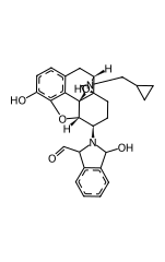 O=CC1c2ccccc2C(O)N1[C@@H]1CC[C@@]2(O)[C@H]3Cc4ccc(O)c5c4[C@@]2(CCN3CC2CC2)[C@H]1O5